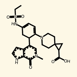 CCS(=O)(=O)NC1=CC=C(N2CCC3(CC2)CC3C(=O)O)C(c2cn(C)c(=O)c3[nH]ccc23)C1